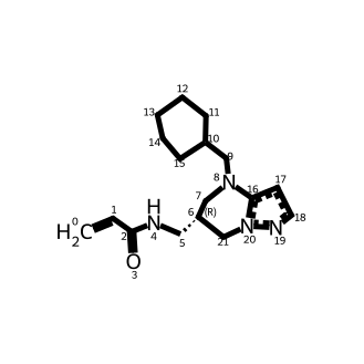 C=CC(=O)NC[C@@H]1CN(CC2CCCCC2)c2ccnn2C1